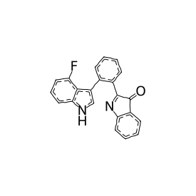 O=C1C(c2ccccc2-c2c[nH]c3cccc(F)c23)=Nc2ccccc21